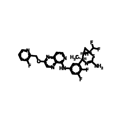 C[C@@]1(c2cc(Nc3nccc4nc(OCc5ncccc5F)cnc34)cc(F)c2F)N=C(N)S[C@@]2(C(F)F)C[C@@H]12